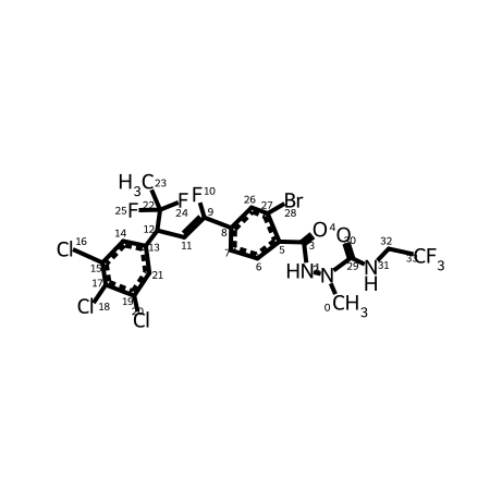 CN(NC(=O)c1ccc(/C(F)=C/C(c2cc(Cl)c(Cl)c(Cl)c2)C(C)(F)F)cc1Br)C(=O)NCC(F)(F)F